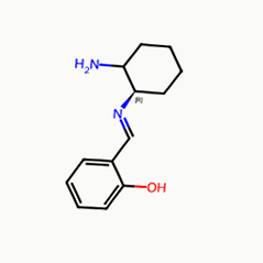 NC1CCCC[C@H]1N=Cc1ccccc1O